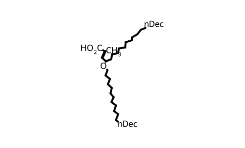 CCCCCCCCCCCCCCCCCCCCCCOC(C=C(C)C(=O)O)CCCCCCCCCCCCCCCCCCCCC